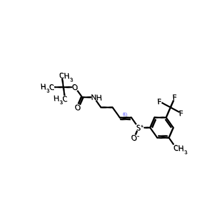 Cc1cc([S+]([O-])/C=C/CCNC(=O)OC(C)(C)C)cc(C(F)(F)F)c1